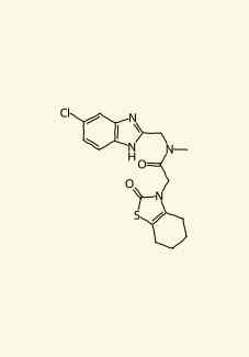 CN(Cc1nc2cc(Cl)ccc2[nH]1)C(=O)Cn1c2c(sc1=O)CCCC2